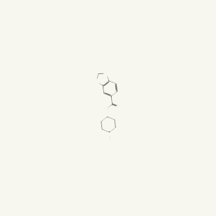 N[C@H]1CC[C@H](NC(=O)c2ccc3c(c2)OCO3)CC1